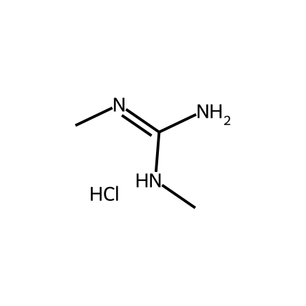 CN=C(N)NC.Cl